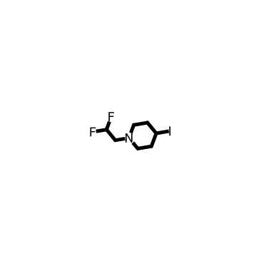 FC(F)CN1CCC(I)CC1